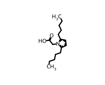 CCCCCc1ccc(CCCCC)n1CC(=O)O